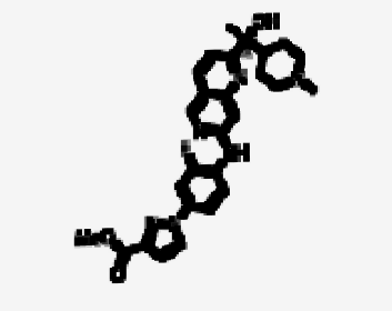 COC(=O)c1ccn(-c2ccc(Nc3cc4nc([C@](C)(O)C5CCN(C)CC5)ccc4cn3)c(F)c2)n1